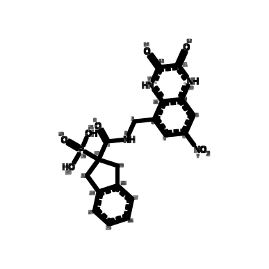 O=C(NCc1cc([N+](=O)[O-])cc2[nH]c(=O)c(=O)[nH]c12)C1(P(=O)(O)O)Cc2ccccc2C1